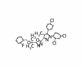 Cc1c(-c2nnc(C(C)(C)OCc3ccccc3F)o2)nn(-c2ccc(Cl)cc2Cl)c1-c1ccc(Cl)cc1